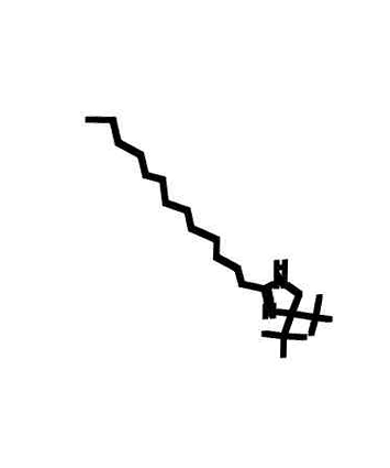 CCCCCCCCCCCCCC1=NC(C(C)(C)C)(C(C)(C)C)CN1